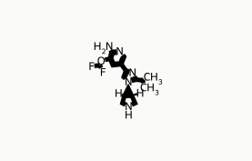 CC(C)c1nc(-c2cnc(N)c(OC(F)F)c2)cn1[C@H]1[C@@H]2CNC[C@@H]21